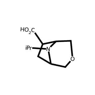 CC(C)N1C2COCC1C(C(=O)O)C2